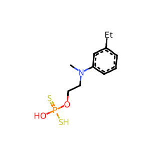 CCc1cccc(N(C)CCOP(O)(=S)S)c1